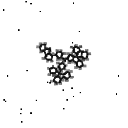 c1ccc(C2(c3ccc(N(c4cccc(-c5cccc6c5sc5ccccc56)c4)c4ccc5c(c4)-c4ccccc4C5(c4ccccc4)c4ccccc4)cc3)c3ccccc3-c3ccccc32)cc1